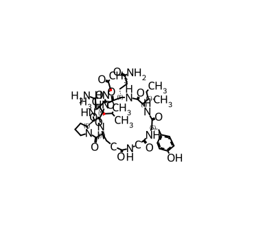 CC[C@H](C)[C@@H]1NC(=O)[C@H](Cc2ccc(O)cc2)NC(=O)CNC(=O)CC[C@@H](C(=O)N2CCC[C@H]2C(=O)N[C@@](C)(CC(C)C)C(=O)NCC(C)=O)NC(=O)[C@H](CC(N)=O)NC(=O)[C@H](CCC(N)=O)NC1=O